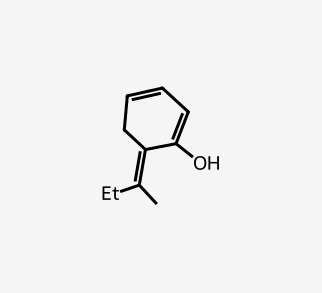 CCC(C)=C1CC=CC=C1O